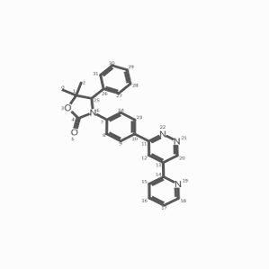 CC1(C)OC(=O)N(c2ccc(-c3cc(-c4ccccn4)cnn3)cc2)C1c1ccccc1